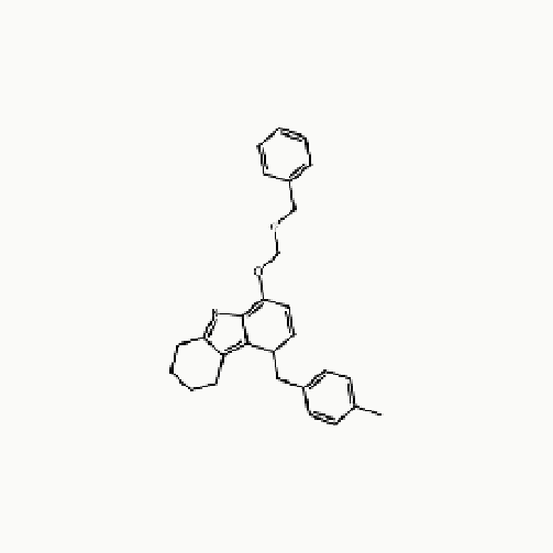 Cc1ccc(CC2C=CC(OCOCc3ccccc3)=C3N=C4CCCCC4=C32)cc1